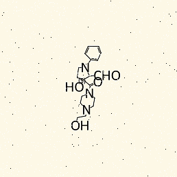 O=CC1N(c2ccccc2)CC[C@@]1(O)C(=O)N1CCN(CCO)CC1